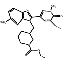 Cc1cc(-c2nc3ccc(C=O)cc3n2CC2CCCN(C(=O)OC(C)(C)C)C2)cn(C)c1=O